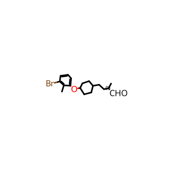 Cc1c(Br)cccc1OC1CCC(CC[C@@H](C)C=O)CC1